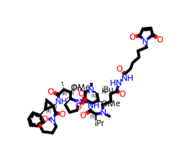 CC[C@H](C)[C@@H]([C@@H](CC(=O)N1CCC[C@H]1[C@H](OC)[C@@H](C)C(=O)N[C@@]1(C(=O)N2CCCCO2)C[C@@H]1c1ccccc1)OC)N(C)[C@H](C(=O)NC(=O)[C@H](C(C)C)N(C)CCCC(=O)NNC(=O)CCCCCN1C(=O)C=CC1=O)C(C)C